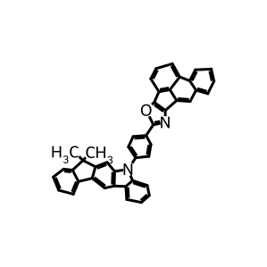 CC1(C)c2ccccc2-c2cc3c4ccccc4n(-c4ccc(-c5nc6c(o5)-c5cccc7c5c-6cc5ccccc57)cc4)c3cc21